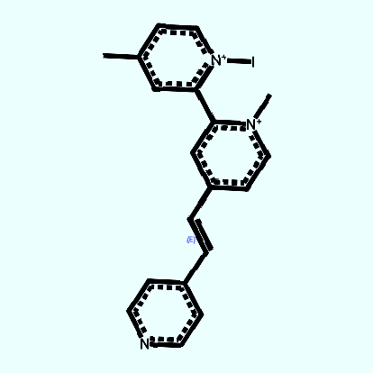 Cc1cc[n+](I)c(-c2cc(/C=C/c3ccncc3)cc[n+]2C)c1